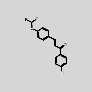 O=C(/C=C/c1ccc(OC(F)F)cc1)c1ccc(Cl)cc1